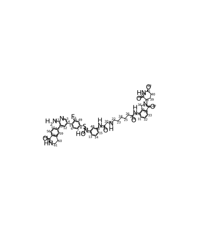 Nc1ncc(-c2ccc(SN(O)c3cccc(NC(=O)CNCCCCCC(=O)Nc4cccc5c4CN(C4CCC(=O)NC4=O)C5=O)c3)cc2F)cc1-c1ccc2c(c1)CCNC2=O